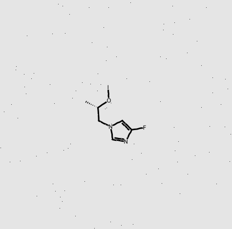 C[C@@H](Cn1cnc(F)c1)OI